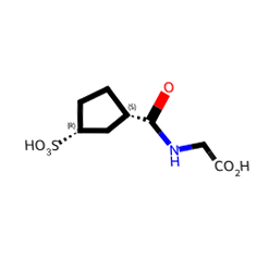 O=C(O)CNC(=O)[C@H]1CC[C@@H](S(=O)(=O)O)C1